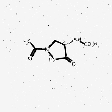 O=C(O)N[C@H]1CN(C(=O)C(F)(F)F)NC1=O